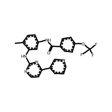 Cc1ccc(NC(=O)c2ccc(OC(F)(F)F)cc2)cc1Nc1nccc(-c2cccnc2)n1